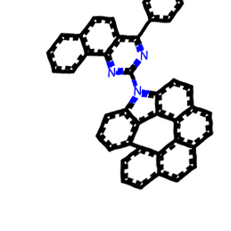 c1ccc(-c2nc(-n3c4cccc5c4c4c6c(ccc7ccc8cccc-5c8c76)ccc43)nc3c2ccc2ccccc23)cc1